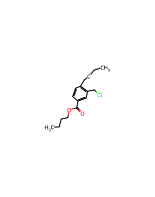 CCCCOC(=O)c1ccc(CCCC)c(CCl)c1